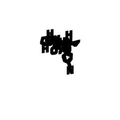 CC(C)(Oc1ccc(C#N)cc1)C(=O)N[C@H]1C[C@H]2CC[C@@H](C1)N2c1ccc(C(=O)NC2CC2)cn1